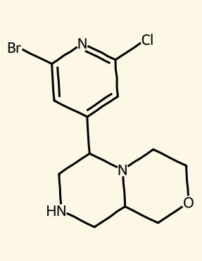 Clc1cc(C2CNCC3COCCN32)cc(Br)n1